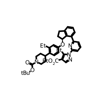 CCOC(=O)c1cnn(-c2cccc(-c3cccc4c3[C@@H](Oc3ccc(C5CCN(C(=O)OC(C)(C)C)CC5)c(CC)c3)CC4)n2)c1CC